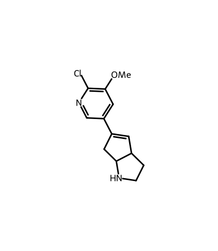 COc1cc(C2=CC3CCNC3C2)cnc1Cl